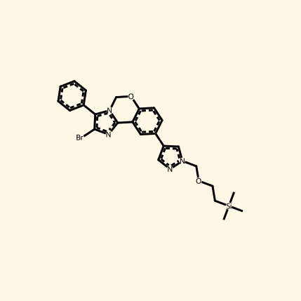 C[Si](C)(C)CCOCn1cc(-c2ccc3c(c2)-c2nc(Br)c(-c4ccccc4)n2CO3)cn1